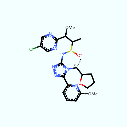 COc1cccc(-c2nnc(N[S+]([O-])C(C)C(OC)c3ncc(Cl)cn3)n2[C@H](C)C2CCCO2)n1